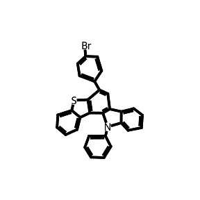 Brc1ccc(-c2cc3c4ccccc4n(-c4ccccc4)c3c3c2sc2ccccc23)cc1